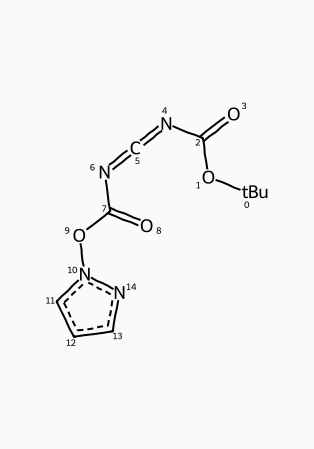 CC(C)(C)OC(=O)N=C=NC(=O)On1cccn1